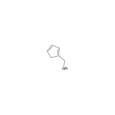 [CH2]CCCC1=CC=CC1